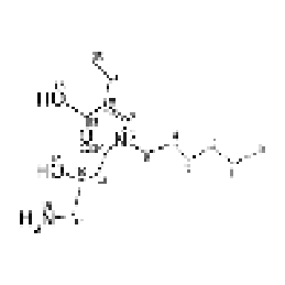 CCCCCCN(C=C(CC)C(=O)O)CCC(O)CN